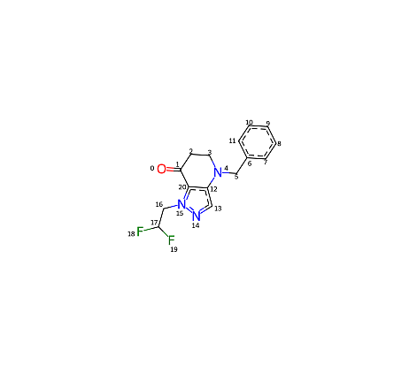 O=C1CCN(Cc2ccccc2)c2cnn(CC(F)F)c21